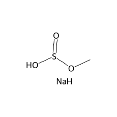 COS(=O)O.[NaH]